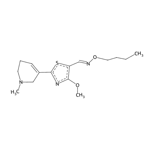 CCCCO/N=C/c1sc(C2=CCCN(C)C2)nc1OC